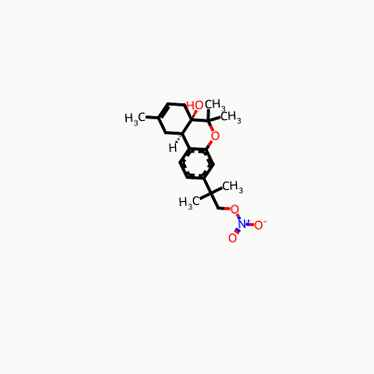 CC1=CC[C@@]2(O)[C@H](C1)c1ccc(C(C)(C)CO[N+](=O)[O-])cc1OC2(C)C